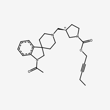 CCC#CCOC(=O)N1CC[C@H](CN2CCC3(CC2)CN(C(C)=O)c2ccccc23)C1